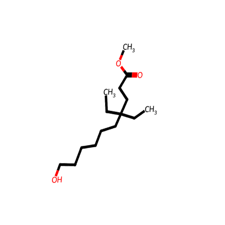 CCC(CC)(CCCCCCO)CCC(=O)OC